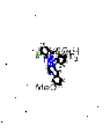 COC1=CC2C(=CC3=CN(C4=Nc5c(F)cccc5C(CC(=O)O)N4c4cccc(C(F)(F)F)c4)CCN32)C=C1